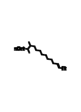 [CH2]CC=CCCCCCCCCC(C)C(C)CCCCCCC[CH2]